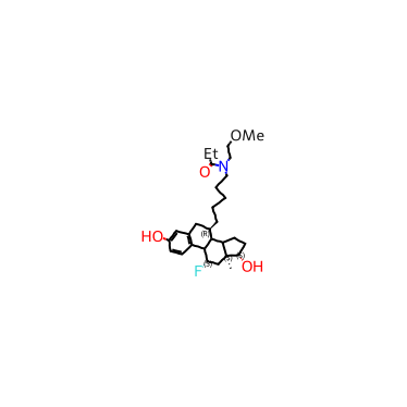 CCC(=O)N(CCCCC[C@@H]1Cc2cc(O)ccc2C2C1C1CC[C@H](O)[C@@]1(C)C[C@@H]2F)CCOC